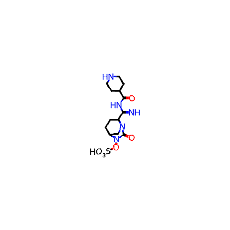 N=C(NC(=O)C1CCNCC1)C1CCC2CN1C(=O)N2OS(=O)(=O)O